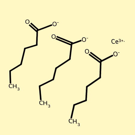 CCCCCC(=O)[O-].CCCCCC(=O)[O-].CCCCCC(=O)[O-].[Ce+3]